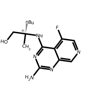 CCCC[C@](C)(CO)Nc1nc(N)nc2cncc(F)c12